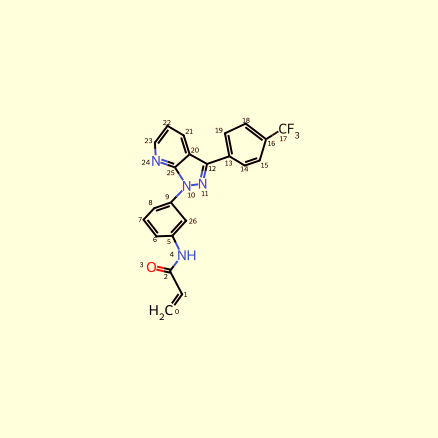 C=CC(=O)Nc1cccc(-n2nc(-c3ccc(C(F)(F)F)cc3)c3cccnc32)c1